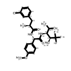 COc1ccc([C@H](NC(=O)[C@@H](N)Cc2cccc(Cl)c2)C(=O)N[C@@H](C(C)C)[C@H](O)C(F)(F)F)cc1